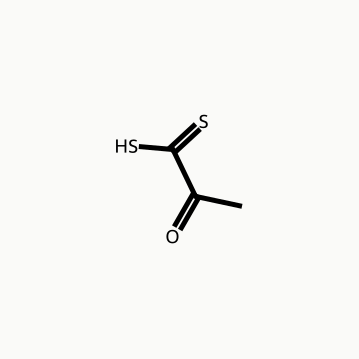 CC(=O)C(=S)S